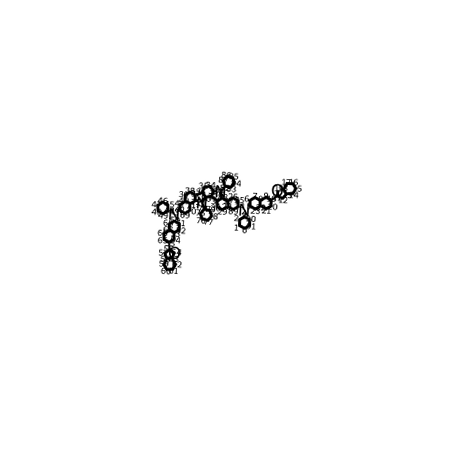 c1ccc(N(c2ccc3cc(-c4cc5ccccc5o4)ccc3c2)c2ccc3c(ccc4c5c(ccc6c7ccc8cc(N(c9ccccc9)c9ccc%10cc(-c%11cc%12ccccc%12o%11)ccc%10c9)ccc8c7n(-c7ccccc7)c65)n(-c5ccccc5)c34)c2)cc1